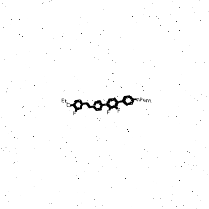 CCCCCc1ccc(-c2ccc(-c3ccc(/C=C/c4ccc(OCC)c(F)c4)cc3)c(F)c2F)cc1